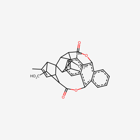 CC1=CC2C3C(=O)Oc4c5ccccc5c(c5c(C(C)(C)C)cccc45)OC(=O)C4C(C(=O)O)C5C(C)=CC4C25C1C3C(=O)O